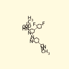 CCS(=O)(=O)Nc1cc(-c2ccc(F)cc2F)cc(-n2cnc3cc(-c4cnn(C)c4)ccc32)n1